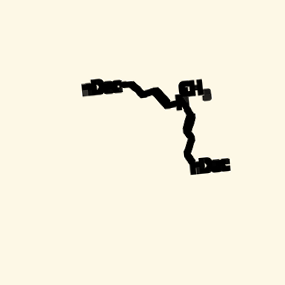 CCCCCCCCCCCC/C=C/N(C)/C=C/CCCCCCCCCCCC